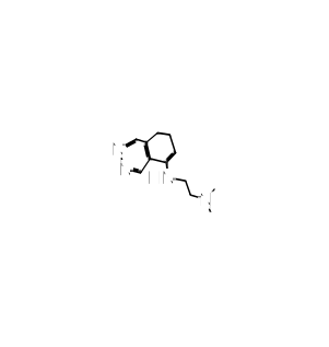 CN(C)CCNC1=CCCc2cnncc21